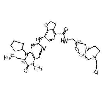 CC[C@@H]1C(=O)N(C)c2cnc(Nc3ccc(C(=O)NC[C@@H](CN4CCN(CC5CC5)CC4)OC)c4c3OCC4)nc2N1C1CCCC1